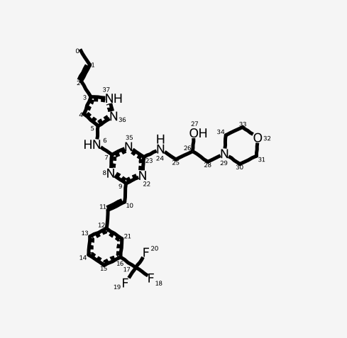 C/C=C/c1cc(Nc2nc(/C=C/c3cccc(C(F)(F)F)c3)nc(NCC(O)CN3CCOCC3)n2)n[nH]1